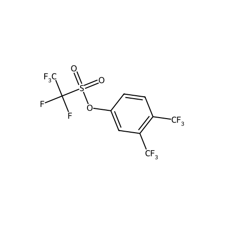 O=S(=O)(Oc1ccc(C(F)(F)F)c(C(F)(F)F)c1)C(F)(F)C(F)(F)F